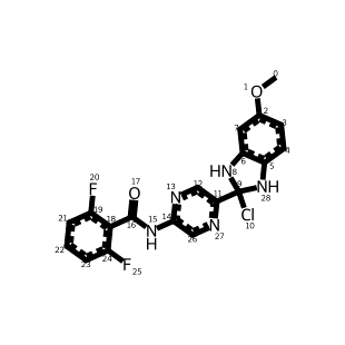 COc1ccc2c(c1)NC(Cl)(c1cnc(NC(=O)c3c(F)cccc3F)cn1)N2